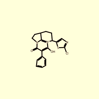 O=c1c(-c2ccccc2)c(O)[n+]2c3n1CCC3CCC2c1cnc(Cl)s1